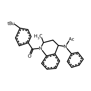 CC(=O)N(c1ccccc1)C1CC(C)N(C(=O)c2ccc(C(C)(C)C)cc2)c2ccccc21